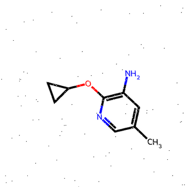 Cc1cnc(OC2CC2)c(N)c1